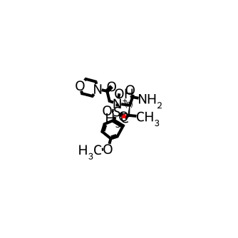 COc1ccc(S(=O)(=O)[N+](O)(CC(=O)N2CCOCC2)[C@@H](C(N)=O)C(C)C)cc1